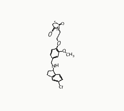 COc1cc(CNC2CCc3cc(Cl)ccc32)ccc1OCCN1C(=O)CSC1=O